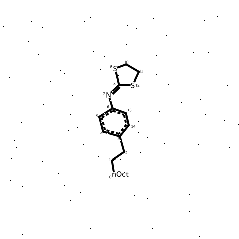 CCCCCCCCCCc1ccc(N=C2SCCS2)cc1